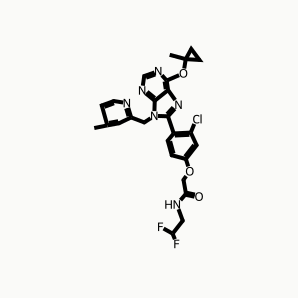 Cc1ccnc(Cn2c(-c3ccc(OCC(=O)NCC(F)F)cc3Cl)nc3c(OC4(C)CC4)ncnc32)c1